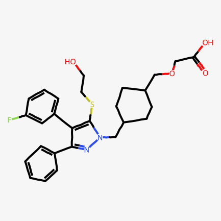 O=C(O)COCC1CCC(Cn2nc(-c3ccccc3)c(-c3cccc(F)c3)c2SCCO)CC1